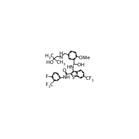 COc1ccc(CNCC(C)(C)O)cc1C(O)Nc1c(C(=O)Nc2ccc(F)c(C(F)(F)F)c2)sc2cc(C(F)(F)F)ccc12